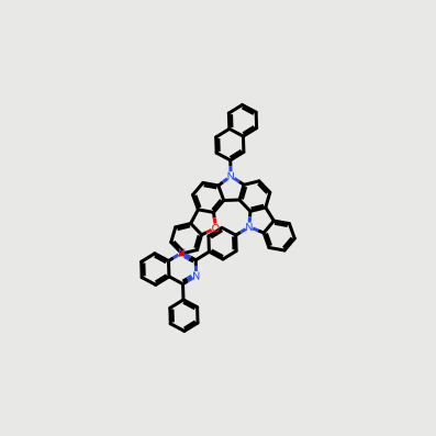 c1ccc(-c2nc(-c3ccc(-n4c5ccccc5c5ccc6c(c7c8oc9ccccc9c8ccc7n6-c6ccc7ccccc7c6)c54)cc3)nc3ccccc23)cc1